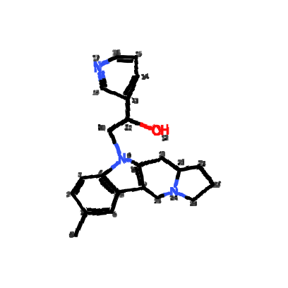 Cc1ccc2c(c1)c1c(n2CC(O)c2cccnc2)CC2CCCN2C1